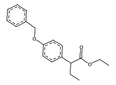 CCOC(=O)C(CC)c1ccc(OCc2ccccc2)cc1